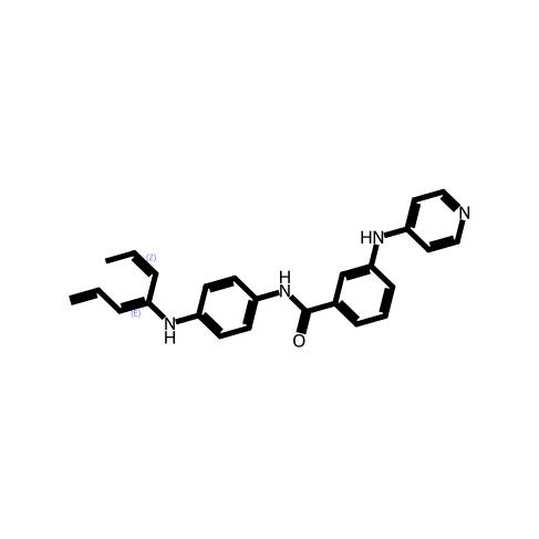 C=C/C=C(\C=C/C)Nc1ccc(NC(=O)c2cccc(Nc3ccncc3)c2)cc1